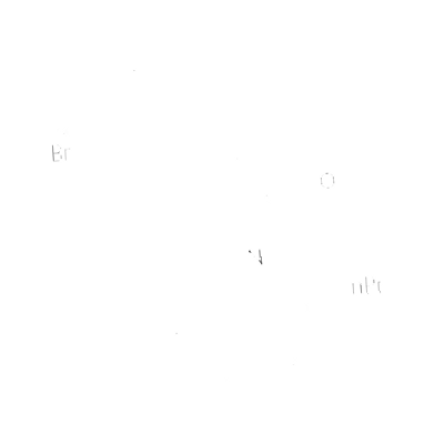 CCCC1CCCCN1C(=O)c1cccc(Br)c1